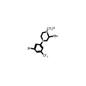 CC(C)(C)C1CN(c2cc(Br)cc(C(F)(F)F)c2)CCN1C(=O)O